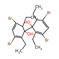 CCC1=C(Br)C=C(Br)C(CC)C1(O)C1(O)C(CC)=C(Br)C=C(Br)C1CC